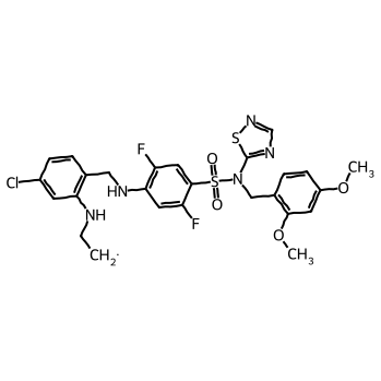 [CH2]CNc1cc(Cl)ccc1CNc1cc(F)c(S(=O)(=O)N(Cc2ccc(OC)cc2OC)c2ncns2)cc1F